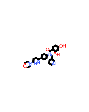 O=C(c1ccc(O)cc1O)N(Cc1cccnc1)c1ccc(-c2ccc(N3CCOCC3)nn2)cc1